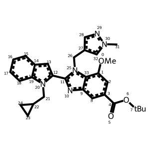 COc1cc(C(=O)OC(C)(C)C)cc2nc(-c3cc4ccccc4n3CC3CC3)n(Cc3cnn(C)c3)c12